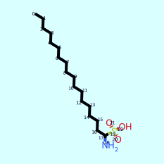 CCCCCCCCCCCCCCCCCC(N)S(=O)(=O)O